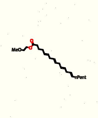 CCCCCC=CCC=CCC=CCC=CCCCC(=O)OCCOC